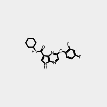 O=C(NC1CCCCC1)c1c[nH]c2ncc(Oc3ccc(F)cc3F)nc12